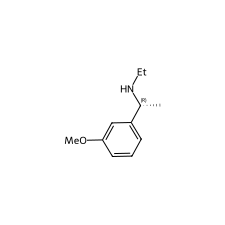 CCN[C@H](C)c1cccc(OC)c1